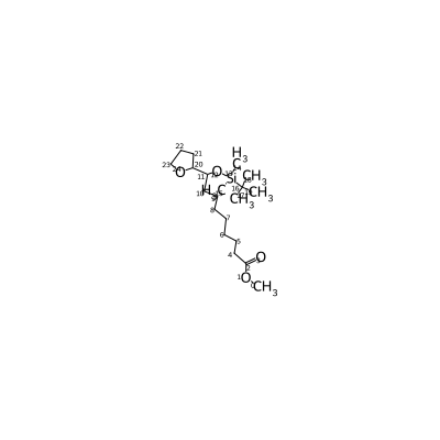 COC(=O)CCCCCCCC(O[Si](C)(C)C(C)(C)C)C1CCCO1